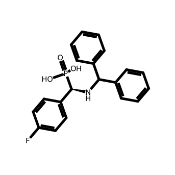 O=P(O)(O)[C@@H](NC(c1ccccc1)c1ccccc1)c1ccc(F)cc1